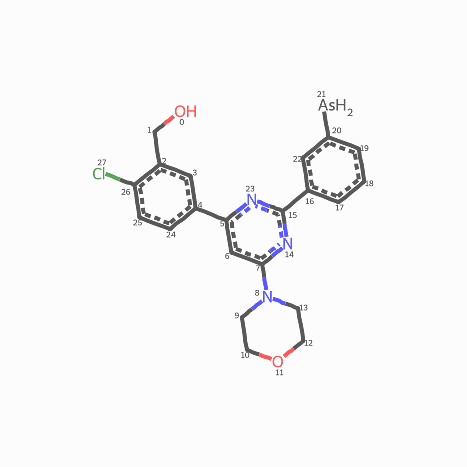 OCc1cc(-c2cc(N3CCOCC3)nc(-c3cccc([AsH2])c3)n2)ccc1Cl